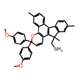 COc1ccc(C2(c3ccc(OC)cc3)C=Cc3c4c(c5ccc(C)cc5c3O2)-c2ccc(C)cc2C4(C)C[SiH3])cc1